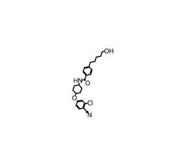 N#Cc1ccc(OC2CCC(NC(=O)c3ccc(CCCCCO)cc3)CC2)cc1Cl